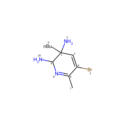 CCCCC1(N)C=C(Br)C(C)=NC1N